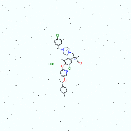 Br.C/C(C=O)=C(\CN1CCN(Cc2ccc(Cl)cc2)CC1)c1cc(C)c(Oc2ccc(OCc3ccc(C)cc3)cn2)c(Cl)c1